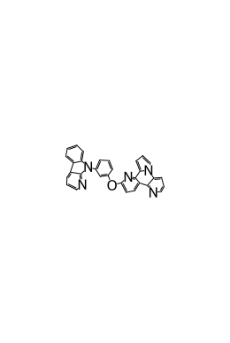 c1cc(Oc2ccc3c4ncccc4n4cccc4c3n2)cc(-n2c3ccccc3c3cccnc32)c1